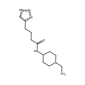 CCN1CCC(NC(=O)CCCc2c[nH]nn2)CC1